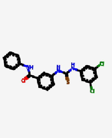 O=C(Nc1ccccc1)c1cccc(NC(=S)Nc2cc(Cl)cc(Cl)c2)c1